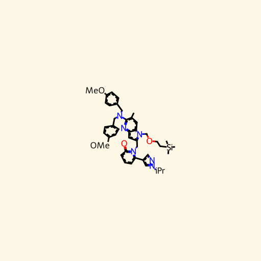 COc1ccc(CN(Cc2ccc(OC)cc2)c2nc3cc(Cn4c(-c5cnn(C(C)C)c5)cccc4=O)n(COCC[Si](C)(C)C)c3cc2C)cc1